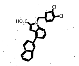 O=C(O)c1cc2c(-c3ccc4ccccc4c3)cccc2n1Cc1ccc(Cl)c(Cl)c1